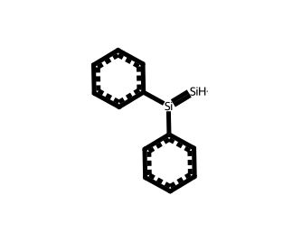 [SiH]=[Si](c1ccccc1)c1ccccc1